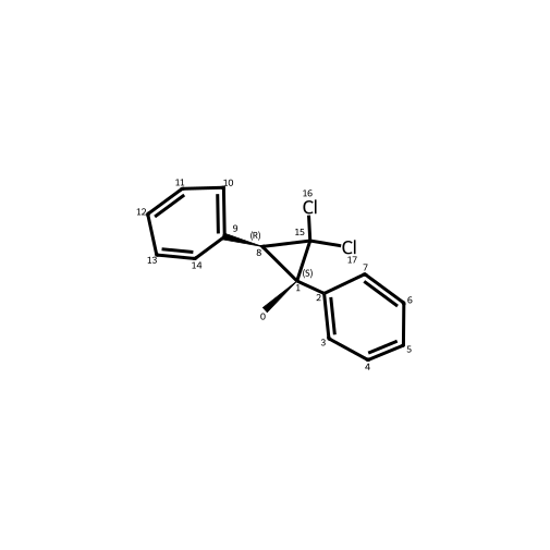 C[C@@]1(c2ccccc2)[C@@H](c2ccccc2)C1(Cl)Cl